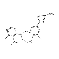 Cc1cc(-c2nnc(N)s2)cc2c1OCCN(c1ncnc(C)c1C(C)C)C2